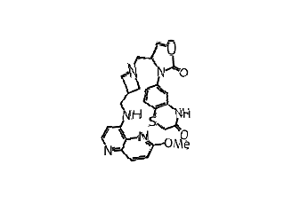 COc1ccc2nccc(NCC3CN(C[C@H]4COC(=O)N4c4ccc5c(c4)NC(=O)CS5)C3)c2n1